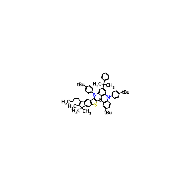 C=C/C=C\C1=C(C)C(C)(C)c2cc3sc4c(c3cc21)N(c1ccc(C(C)(C)C)cc1)c1cc(C(C)(C)c2ccccc2)cc2c1B4c1cc(C(C)(C)C)ccc1N2c1ccc(C(C)(C)C)cc1